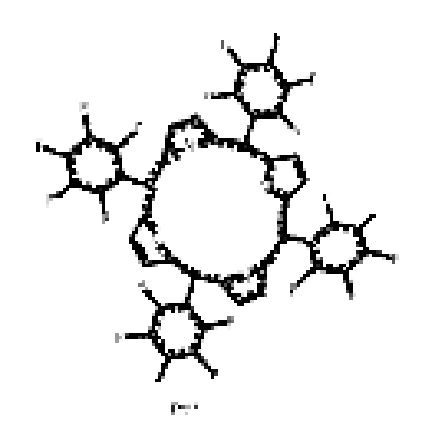 Fc1c(F)c(F)c(-c2c3nc(c(-c4c(F)c(F)c(F)c(F)c4F)c4ccc([n-]4)c(-c4c(F)c(F)c(F)c(F)c4F)c4nc(c(-c5c(F)c(F)c(F)c(F)c5F)c5ccc2[n-]5)C=C4)C=C3)c(F)c1F.[Pt+2]